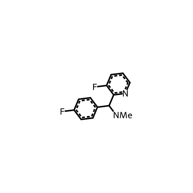 CNC(c1ccc(F)cc1)c1ncccc1F